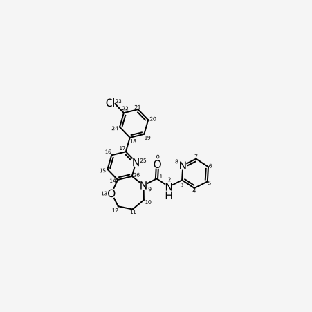 O=C(Nc1ccccn1)N1CCCOc2ccc(-c3cccc(Cl)c3)nc21